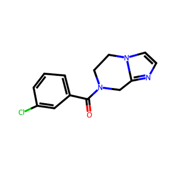 O=C(c1cccc(Cl)c1)N1CCn2ccnc2C1